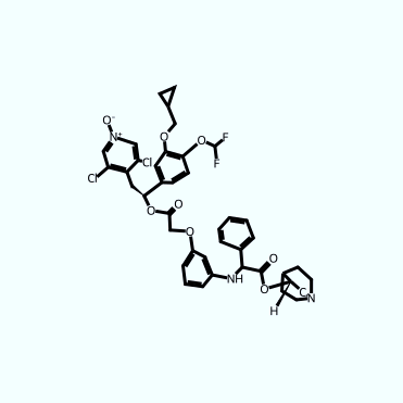 O=C(COc1cccc(NC(C(=O)O[C@H]2CN3CCC2CC3)c2ccccc2)c1)O[C@@H](Cc1c(Cl)c[n+]([O-])cc1Cl)c1ccc(OC(F)F)c(OCC2CC2)c1